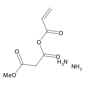 C=CC(=O)OC(=O)CC(=O)OC.N.N